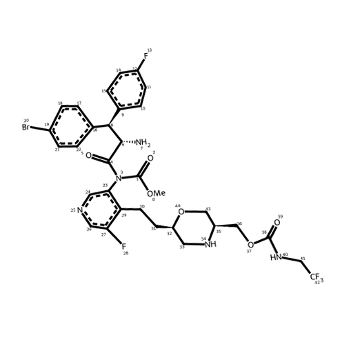 COC(=O)N(C(=O)[C@@H](N)[C@H](c1ccc(F)cc1)c1ccc(Br)cc1)c1cncc(F)c1CC[C@@H]1CN[C@H](COC(=O)NCC(F)(F)F)CO1